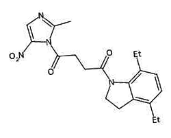 CCc1ccc(CC)c2c1CCN2C(=O)CCC(=O)n1c([N+](=O)[O-])cnc1C